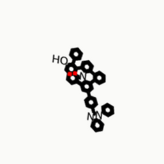 Oc1cccc(-c2cccc3c2-n2c4ccccc4c4cc(-c5ccc(-c6nc7ccccc7n6-c6ccccc6)cc5)cc(c42)-c2ccccc2-3)c1-c1ccccc1